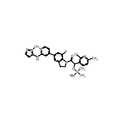 Cc1ccc(C(O[Si](C)(C)C(C)(C)C)C(=O)N2CCc3cc(-c4ccnc(Nc5ccnn5C)c4)cc(F)c32)c(Cl)n1